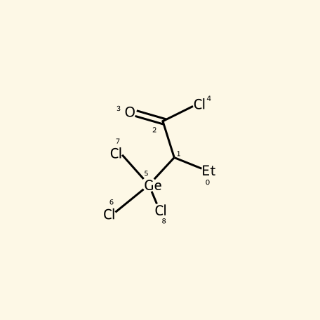 CC[CH](C(=O)Cl)[Ge]([Cl])([Cl])[Cl]